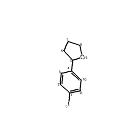 Ic1ccc(C2CCCO2)cc1